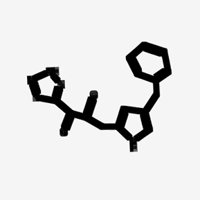 O=C(Cc1cc(Cc2ccccc2)c[nH]1)C(=O)c1nn[nH]n1